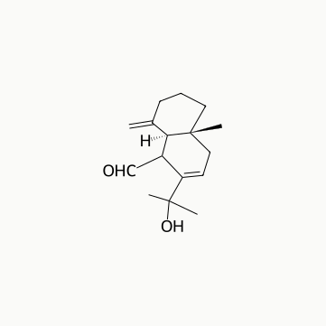 C=C1CCC[C@]2(C)CC=C(C(C)(C)O)C(C=O)[C@@H]12